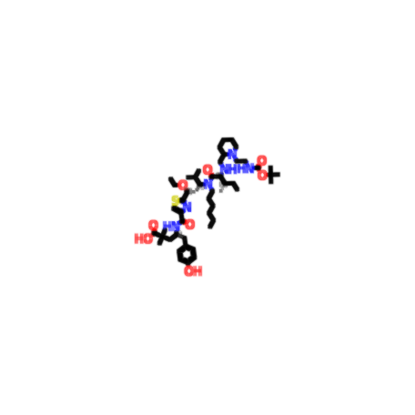 CCCCCCN(C(=O)[C@@H](NCC1CCCCN1CCNC(=O)OC(C)(C)C)[C@@H](C)CC)[C@H](C[C@@H](OCC)c1nc(C(=O)N[C@@H](Cc2ccc(O)cc2)CC(C)(C)C(=O)O)cs1)C(C)C